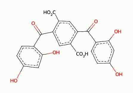 O=C(O)c1cc(C(=O)c2ccc(O)cc2O)c(C(=O)O)cc1C(=O)c1ccc(O)cc1O